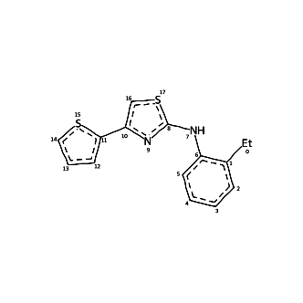 CCc1ccccc1Nc1nc(-c2cccs2)cs1